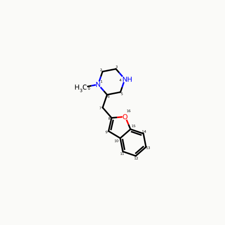 CN1CCNCC1Cc1cc2ccccc2o1